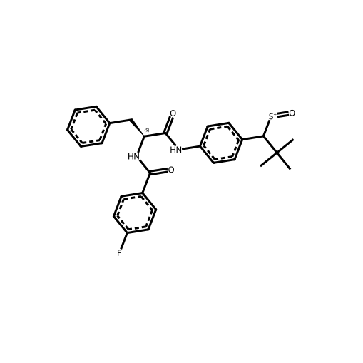 CC(C)(C)C([S+]=O)c1ccc(NC(=O)[C@H](Cc2ccccc2)NC(=O)c2ccc(F)cc2)cc1